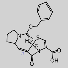 O=C(O)C1=CS[C@H]2/C(=C\C3CCCN3C(=O)OCc3ccccc3)C(=O)N12